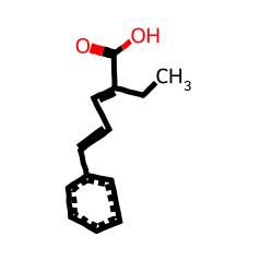 CC/C(=C\C=C\c1ccccc1)C(=O)O